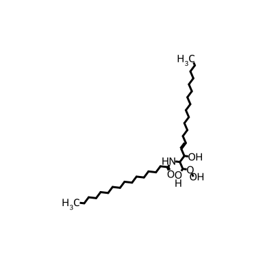 CCCCCCCCCCCCCC=CC(O)C(NC(=O)CCCCCCCCCCCCCCC)C(O)OO